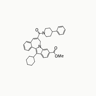 COC(=O)c1ccc2c(C3CCCCC3)c3n(c2c1)CC(C(=O)N1CCC(c2ccccc2)CC1)=Cc1ccccc1-3